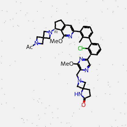 COc1nc(-c2cccc(-c3cccc(-c4cc5c(c(OC)n4)[C@@H](N4CC6(CN(C(C)=O)C6)C4)CC5)c3C)c2Cl)cnc1CN1CC2(CCC(=O)N2)C1